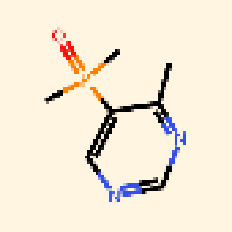 Cc1ncncc1P(C)(C)=O